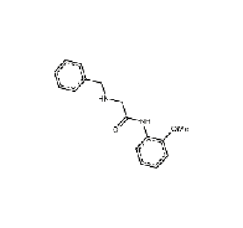 COc1ccccc1NC(=O)CNCc1ccccc1